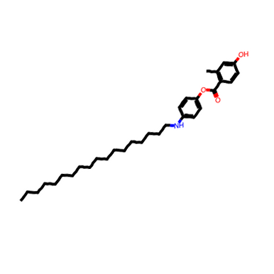 CCCCCCCCCCCCCCCCCCNc1ccc(OC(=O)c2ccc(O)cc2C)cc1